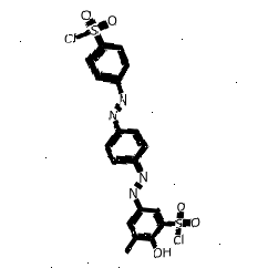 Cc1cc(N=Nc2ccc(N=Nc3ccc(S(=O)(=O)Cl)cc3)cc2)cc(S(=O)(=O)Cl)c1O